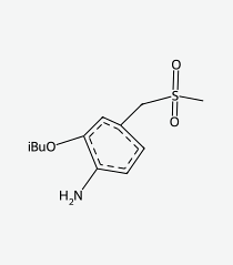 CC(C)COc1cc(CS(C)(=O)=O)ccc1N